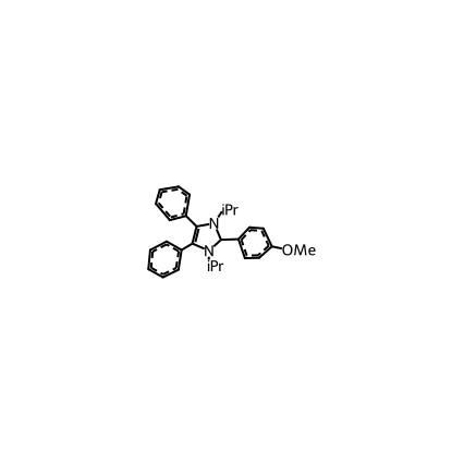 COc1ccc(C2N(C(C)C)C(c3ccccc3)=C(c3ccccc3)N2C(C)C)cc1